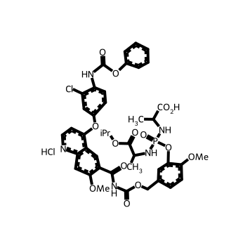 COc1ccc(COC(=O)NC(=O)c2cc3c(Oc4ccc(NC(=O)Oc5ccccc5)c(Cl)c4)ccnc3cc2OC)cc1OP(=O)(NC(C)C(=O)O)NC(C)C(=O)OC(C)C.Cl